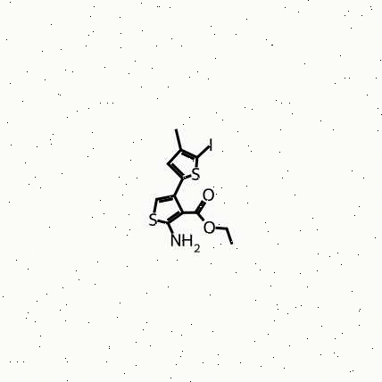 CCOC(=O)c1c(-c2cc(C)c(I)s2)csc1N